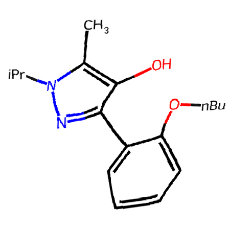 CCCCOc1ccccc1-c1nn(C(C)C)c(C)c1O